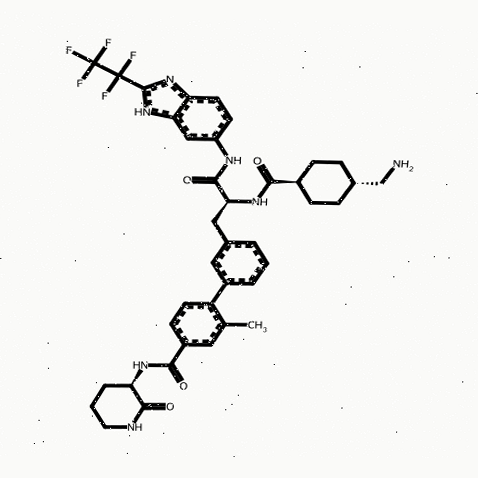 Cc1cc(C(=O)N[C@@H]2CCCNC2=O)ccc1-c1cccc(C[C@H](NC(=O)[C@H]2CC[C@H](CN)CC2)C(=O)Nc2ccc3nc(C(F)(F)C(F)(F)F)[nH]c3c2)c1